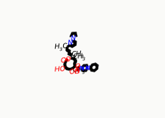 C/C(=C\C=C\C(C)c1cccc(N2CCCC2)n1)[C@H]1OC(=O)C[C@@H](O)CC[C@](C)(O)[C@@H](OC(=O)N2CCN(C3CCCCCC3)CC2)/C=C/[C@@H]1C